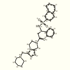 O=C(C[C@@H](NS(=O)(=O)c1ccc2ccccc2c1)c1ccccc1)N1CCn2c(CN3CCCCC3)nnc2C1